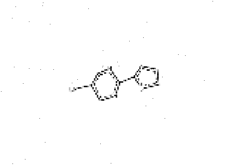 Nc1cnc(-c2cccs2)nc1